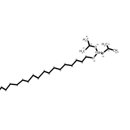 CCCCCCCCCCCCCCCCCCO[SiH](OC(C)C)OC(C)C